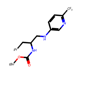 CC(C)CC(CNc1ccc(C(F)(F)F)nc1)NC(=O)OC(C)(C)C